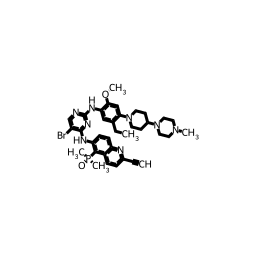 C#Cc1ccc2c(P(C)(C)=O)c(Nc3nc(Nc4cc(CC)c(N5CCC(N6CCN(C)CC6)CC5)cc4OC)ncc3Br)ccc2n1